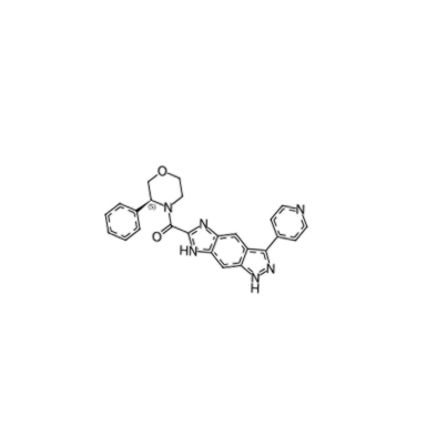 O=C(c1nc2cc3c(-c4ccncc4)n[nH]c3cc2[nH]1)N1CCOC[C@@H]1c1ccccc1